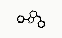 C(=C1\CSCC2C1=NNC2c1ccccc1)/c1ccccc1